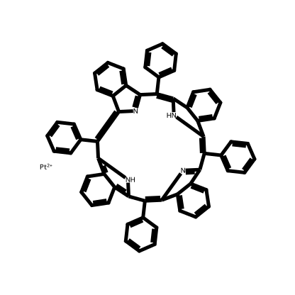 [Pt+2].c1ccc(-c2c3nc(c(-c4ccccc4)c4[nH]c(c(-c5ccccc5)c5nc(c(-c6ccccc6)c6[nH]c2c2ccccc62)-c2ccccc2-5)c2ccccc42)-c2ccccc2-3)cc1